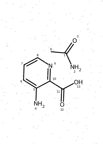 CC(N)=O.Nc1cccnc1C(=O)O